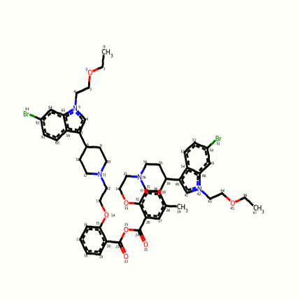 CCOCCn1cc(C2CCN(CCOc3ccccc3C(=O)OC(=O)c3cc(C)ccc3OCCN3CCC(c4cn(CCOCC)c5cc(Br)ccc45)CC3)CC2)c2ccc(Br)cc21